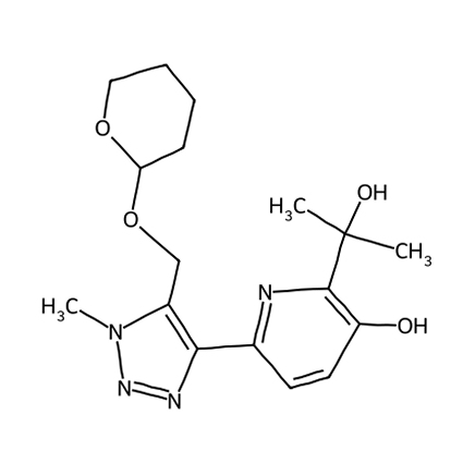 Cn1nnc(-c2ccc(O)c(C(C)(C)O)n2)c1COC1CCCCO1